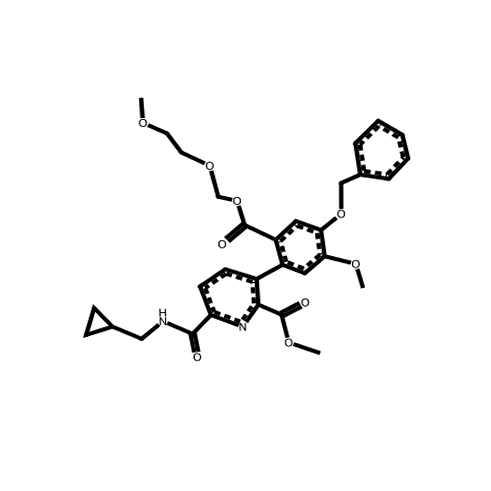 COCCOCOC(=O)c1cc(OCc2ccccc2)c(OC)cc1-c1ccc(C(=O)NCC2CC2)nc1C(=O)OC